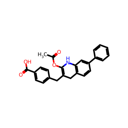 CC(=O)OC1=C(Cc2ccc(C(=O)O)cc2)Cc2ccc(-c3ccccc3)cc2N1